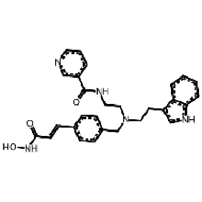 O=C(/C=C/c1ccc(CN(CCNC(=O)c2cccnc2)CCc2c[nH]c3ccccc23)cc1)NO